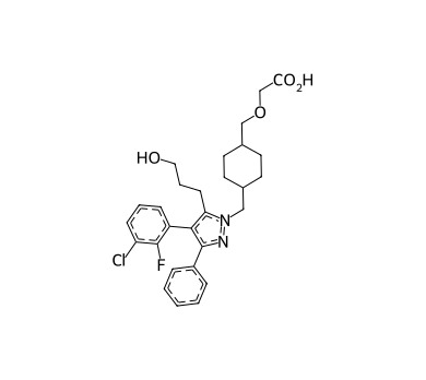 O=C(O)COCC1CCC(Cn2nc(-c3ccccc3)c(-c3cccc(Cl)c3F)c2CCCO)CC1